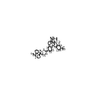 CN(C)C(=O)C(=O)N1CCC(c2ccc(C3c4ccc(F)cc4CN3C(N)=O)cc2)CC1